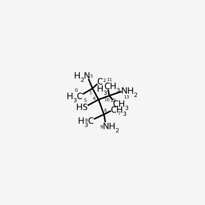 CC(C)(N)C(S)(C(C)(C)N)C(C)(C)N